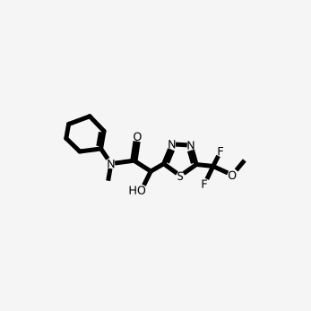 COC(F)(F)c1nnc(C(O)C(=O)N(C)C2=CCCCC2)s1